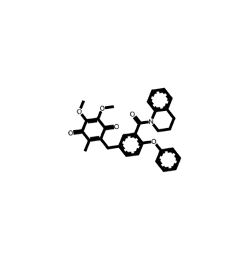 COC1=C(OC)C(=O)C(Cc2ccc(Oc3ccccc3)c(C(=O)N3CCCc4ccccc43)c2)=C(C)C1=O